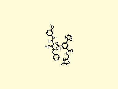 COc1cccc([C@H](C)NC[C@@H](O)[C@H](Cc2ccccc2)NC(=O)c2cc(C(=O)N(C)Cc3nc(C)cs3)cc(-c3ncco3)c2)c1